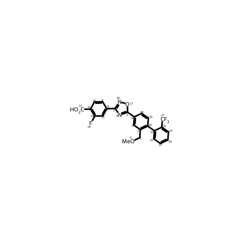 COCc1cc(-c2nc(-c3ccc(C(=O)O)c(F)c3)no2)ccc1-c1ccccc1C(F)(F)F